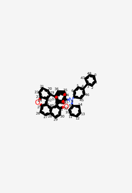 c1ccc(-c2ccc(N(c3ccccc3)c3ccc(-c4cccc5oc6ccc7ccc8oc9ccccc9c8c7c6c45)cc3)cc2)cc1